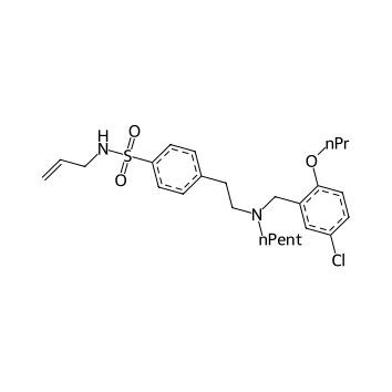 C=CCNS(=O)(=O)c1ccc(CCN(CCCCC)Cc2cc(Cl)ccc2OCCC)cc1